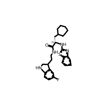 O=C(NCCC1CNc2ccc(F)cc21)[C@H](CC1CCCCC1)Nc1nc2ccccc2s1